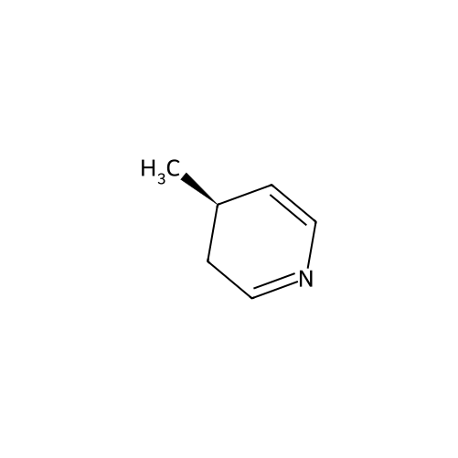 C[C@H]1C=CN=CC1